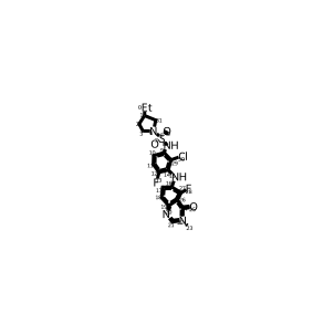 CCC1CCN(S(=O)(=O)Nc2ccc(F)c(Nc3ccc4ncn(C)c(=O)c4c3F)c2Cl)C1